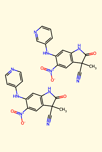 CC1(C#N)C(=O)Nc2cc(Nc3cccnc3)c([N+](=O)[O-])cc21.CC1(C#N)C(=O)Nc2cc(Nc3ccncc3)c([N+](=O)[O-])cc21